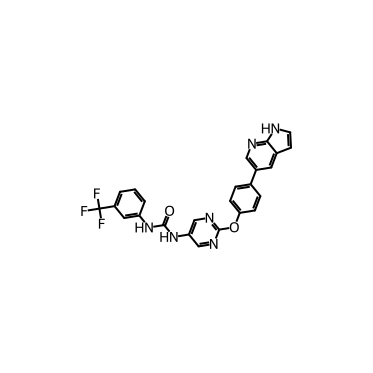 O=C(Nc1cnc(Oc2ccc(-c3cnc4[nH]ccc4c3)cc2)nc1)Nc1cccc(C(F)(F)F)c1